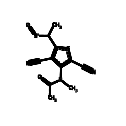 CC(=O)N(C)c1c(C#N)sc(C(C)[S+]=O)c1C#N